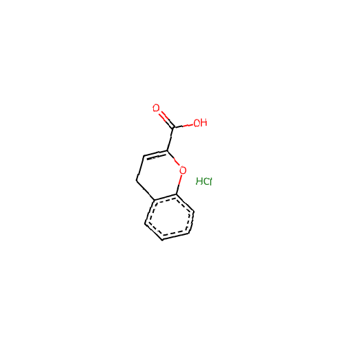 Cl.O=C(O)C1=CCc2ccccc2O1